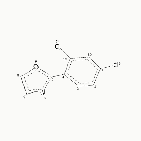 Clc1ccc(-c2n[c]co2)c(Cl)c1